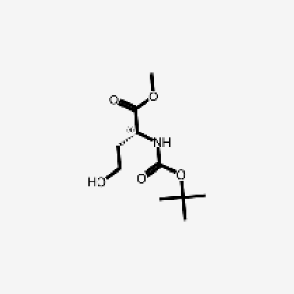 COC(=O)[C@@H](CCO)NC(=O)OC(C)(C)C